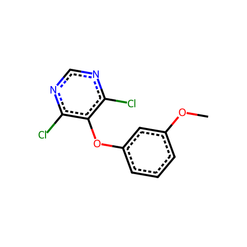 COc1cccc(Oc2c(Cl)ncnc2Cl)c1